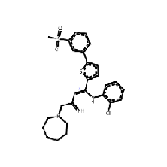 CS(=O)(=O)c1cccc(-c2ccc(/C(=C/C(=N)CN3CCCCCC3)Nc3ccccc3Cl)s2)c1